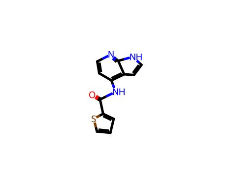 O=C(Nc1ccnc2[nH]ccc12)c1cccs1